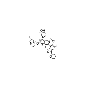 C[C@H]1C[C@H]1c1c(Cl)cc2c(cnn2C2CCCCO2)c1-c1ncc2c(N3CCC[C@@](C)(O)C3)nc(OC[C@@]34CCCN3C[C@H](F)C4)nc2c1F